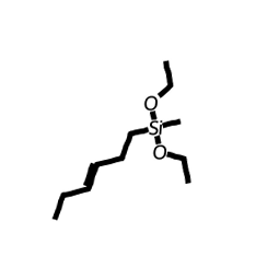 CCC=CCC[Si](C)(OCC)OCC